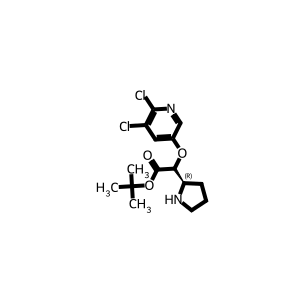 CC(C)(C)OC(=O)C(Oc1cnc(Cl)c(Cl)c1)[C@H]1CCCN1